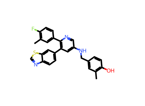 Cc1cc(CNc2cnc(-c3ccc(F)c(C)c3)c(-c3ccc4ncsc4c3)c2)ccc1O